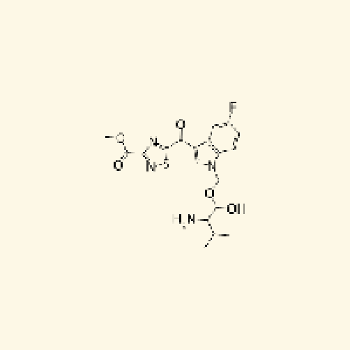 COC(=O)c1nsc(C(=O)c2cn(COC(O)C(N)C(C)C)c3ccc(F)cc23)n1